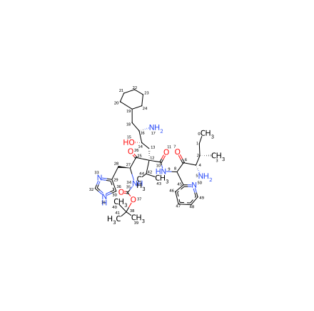 CC[C@H](C)[C@H](N)C(=O)C(NC(=O)[C@](C[C@H](O)[C@@H](N)CC1CCCCC1)(C(=O)[C@H](Cc1c[nH]cn1)NC(=O)OC(C)(C)C)C(C)C)c1ccccn1